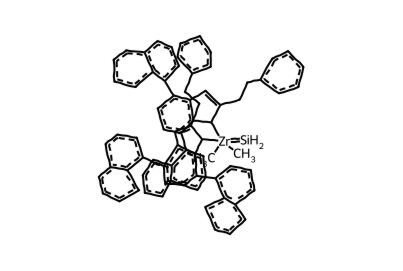 [CH3][Zr]([CH3])(=[SiH2])([CH]1C(CCc2ccccc2)=Cc2c(-c3cccc4ccccc34)ccc(-c3cccc4ccccc34)c21)[CH]1C(CCc2ccccc2)=Cc2c(-c3cccc4ccccc34)ccc(-c3cccc4ccccc34)c21